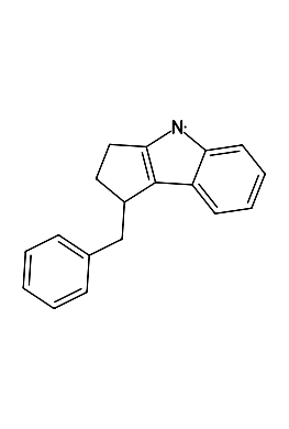 c1ccc(CC2CCC3=C2c2ccccc2[N]3)cc1